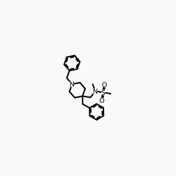 CN(CC1(Cc2ccccc2)CCN(Cc2ccccc2)CC1)S(C)(=O)=O